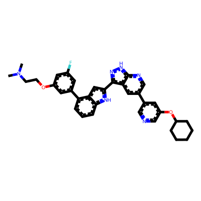 CN(C)CCOc1cc(F)cc(-c2cccc3[nH]c(-c4n[nH]c5ncc(-c6cncc(OC7CCCCC7)c6)cc45)cc23)c1